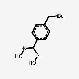 CCC(C)Cc1ccc(C([N]O)[N]O)cc1